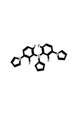 Fc1ccc(-n2cccc2)c(F)[c]1[Ti]([C]1=CC=CC1)[c]1c(F)ccc(-n2cccc2)c1F